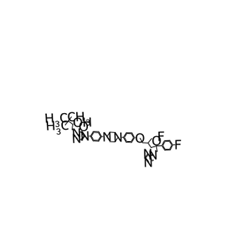 CC(C)(C)C(O)Cn1ncn(-c2ccc(N3CCN(c4ccc(OCC5COC(Cn6cncn6)(c6ccc(F)cc6F)C5)cc4)CC3)cc2)c1=O